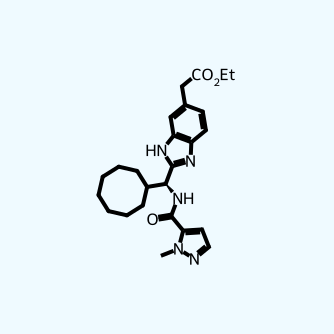 CCOC(=O)Cc1ccc2nc([C@@H](NC(=O)c3ccnn3C)C3CCCCCCC3)[nH]c2c1